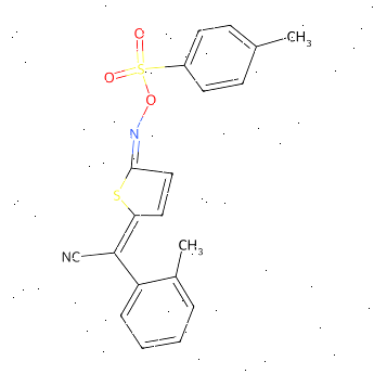 Cc1ccc(S(=O)(=O)ON=C2C=CC(=C(C#N)c3ccccc3C)S2)cc1